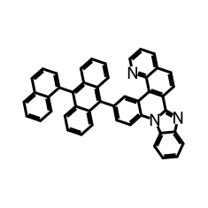 c1ccc2c(-c3c4ccccc4c(-c4ccc5c(c4)c4c(ccc6cccnc64)c4nc6ccccc6n54)c4ccccc34)cccc2c1